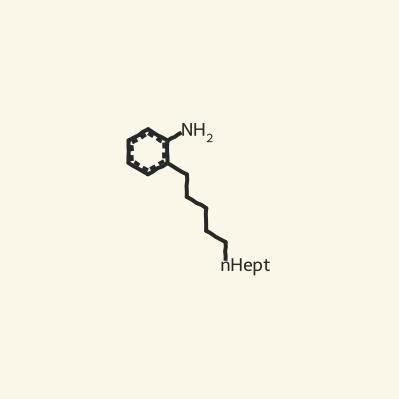 CCCCCCCCCCCCc1ccccc1N